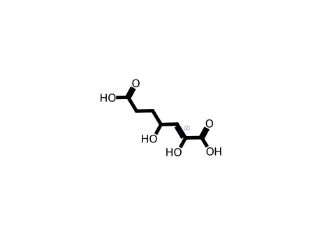 O=C(O)CCC(O)/C=C(\O)C(=O)O